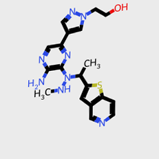 CNN(c1nc(-c2cnn(CCO)c2)cnc1N)C(C)c1cc2cnccc2s1